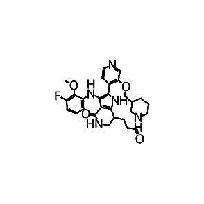 COc1c(F)cccc1Nc1c(-c2ccncc2OCC2CCCNC2)[nH]c2c1C(=O)NCC2CCC=O